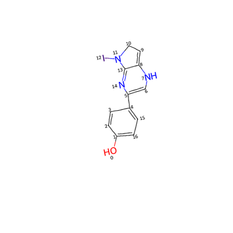 Oc1ccc(C2=CNC3=CCN(I)C3=N2)cc1